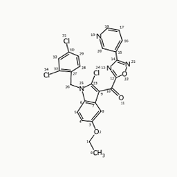 CCOc1ccc2c(c1)c(C(=O)c1nc(-c3cccnc3)no1)c(Cl)n2Cc1ccc(Cl)cc1Cl